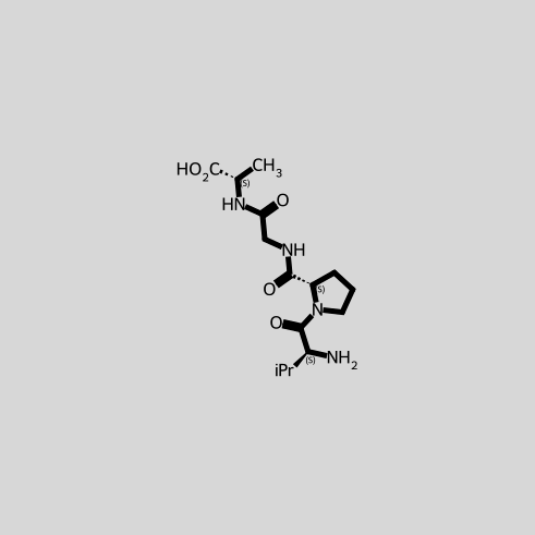 CC(C)[C@H](N)C(=O)N1CCC[C@H]1C(=O)NCC(=O)N[C@@H](C)C(=O)O